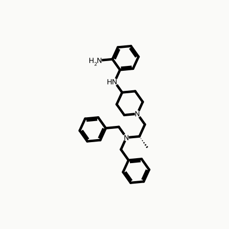 C[C@@H](CN1CCC(Nc2ccccc2N)CC1)N(Cc1ccccc1)Cc1ccccc1